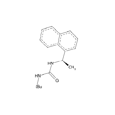 C[C@@H](NC(=O)NC(C)(C)C)c1cccc2ccccc12